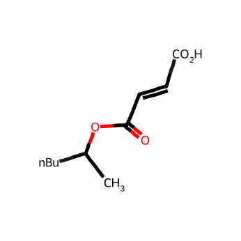 CCCCC(C)OC(=O)/C=C/C(=O)O